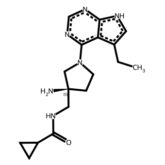 CCc1c[nH]c2ncnc(N3CC[C@](N)(CNC(=O)C4CC4)C3)c12